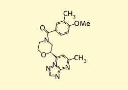 COc1ccc(C(=O)N2CCO[C@H](c3cc(C)nc4ncnn34)C2)cc1C